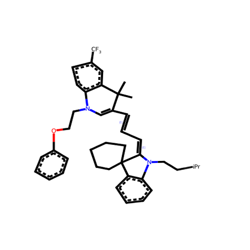 CC(C)CCN1/C(=C/C=C/C2=CN(CCOc3ccccc3)c3ccc(C(F)(F)F)cc3C2(C)C)C2(CCCCC2)c2ccccc21